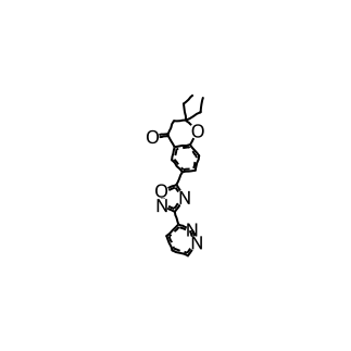 CCC1(CC)CC(=O)c2cc(-c3nc(-c4cccnn4)no3)ccc2O1